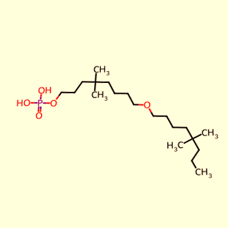 CCCC(C)(C)CCCCOCCCCC(C)(C)CCCOP(=O)(O)O